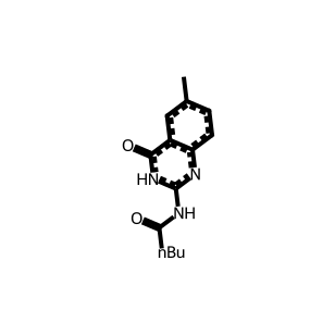 CCCCC(=O)Nc1nc2ccc(C)cc2c(=O)[nH]1